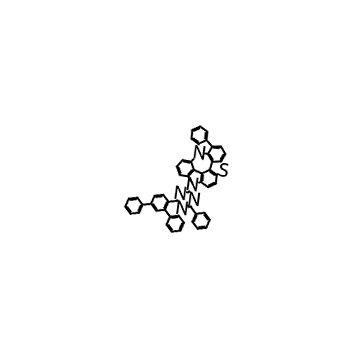 c1ccc(-c2ccc(-c3nc(-c4ccccc4)nc(-n4c5ccc6sc7ccc8c9ccccc9n9c%10cccc4c%10c5c6c7c89)n3)c(-c3ccccc3)c2)cc1